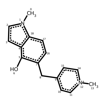 Cn1ccc2c(O)c(Cc3cc[n+](C)cc3)ccc21